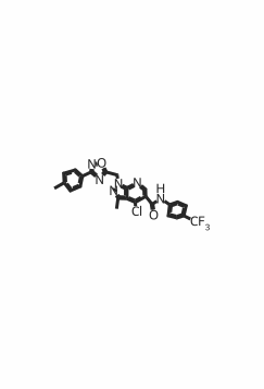 Cc1ccc(-c2noc(Cn3nc(C)c4c(Cl)c(C(=O)Nc5ccc(C(F)(F)F)cc5)cnc43)n2)cc1